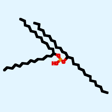 CCCCCCCCCCCCCC(CCCCCCCCCCCC)OP(O)OC(CCCCCCCCCCCC)CCCCCCCCCCCCC